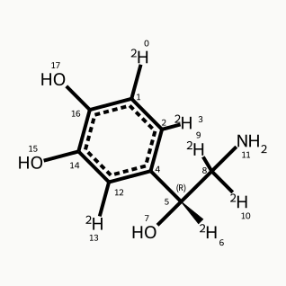 [2H]c1c([2H])c([C@@]([2H])(O)C([2H])([2H])N)c([2H])c(O)c1O